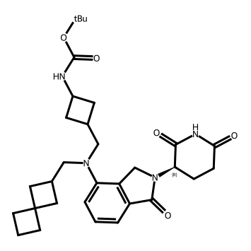 CC(C)(C)OC(=O)NC1CC(CN(CC2CC3(CCC3)C2)c2cccc3c2CN([C@@H]2CCC(=O)NC2=O)C3=O)C1